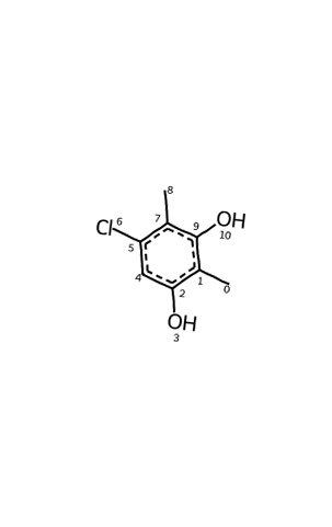 Cc1c(O)cc(Cl)c(C)c1O